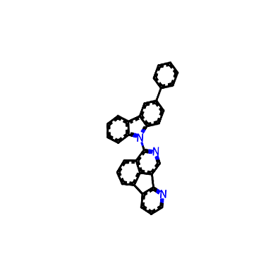 c1ccc(-c2ccc3c(c2)c2ccccc2n3-c2ncc3c4c(cccc24)-c2cccnc2-3)cc1